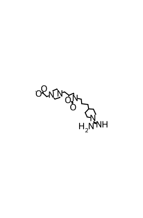 COC(=O)CN1CCN(CC2CN(CCCC3CCN(C(=N)N)CC3)C(=O)O2)CC1